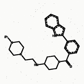 CC(C)N1CCN(CCNC2CCN(C(=O)c3cccc(-c4cc5ccccc5[nH]4)c3)CC2)CC1